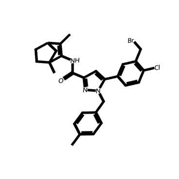 CC1=C(NC(=O)c2cc(-c3ccc(Cl)c(CBr)c3)n(Cc3ccc(C)cc3)n2)C2(C)CCC1C2